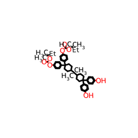 CCC(C)(C)OC(=O)Oc1ccc(C2(c3ccc(OC(=O)OC(C)(C)CC)cc3)CCC(C(C)(C)C3CCC(c4ccc(O)cc4)(c4ccc(O)cc4)CC3)CC2)cc1